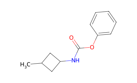 CC1CC(NC(=O)Oc2ccccc2)C1